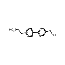 O=S(=O)(O)CC[n+]1ccc(-c2ncc(CO)cn2)cn1